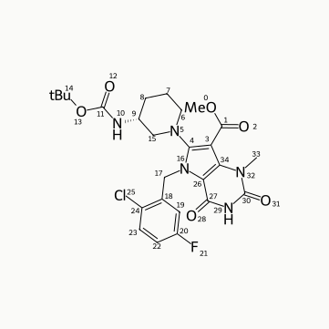 COC(=O)c1c(N2CCC[C@@H](NC(=O)OC(C)(C)C)C2)n(Cc2cc(F)ccc2Cl)c2c(=O)[nH]c(=O)n(C)c12